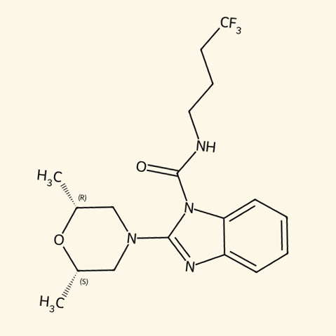 C[C@@H]1CN(c2nc3ccccc3n2C(=O)NCCCC(F)(F)F)C[C@H](C)O1